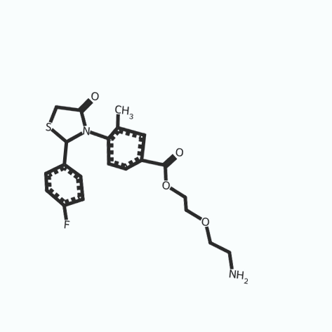 Cc1cc(C(=O)OCCOCCN)ccc1N1C(=O)CSC1c1ccc(F)cc1